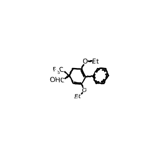 CCOC1=CC(C=O)(C(F)(F)F)CC(OCC)=C1c1ccccc1